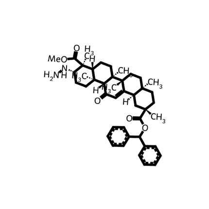 COC(=O)[C@]1(C)[C@@H](NN)CC[C@@]2(C)[C@H]1CC[C@]1(C)[C@@H]2C(=O)C=C2[C@@H]3C[C@@](C)(C(=O)OC(c4ccccc4)c4ccccc4)CC[C@]3(C)CC[C@]21C